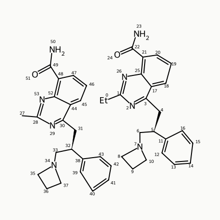 CCc1nc(C[C@H](CN2CCC2)c2ccccc2)c2cccc(C(N)=O)c2n1.Cc1nc(C[C@H](CN2CCC2)c2ccccc2)c2cccc(C(N)=O)c2n1